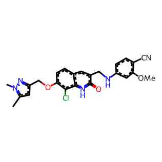 COc1cc(NCc2cc3ccc(OCc4cc(C)n(C)n4)c(Cl)c3[nH]c2=O)ccc1C#N